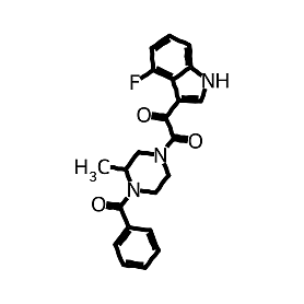 CC1CN(C(=O)C(=O)c2c[nH]c3cccc(F)c23)CCN1C(=O)c1ccccc1